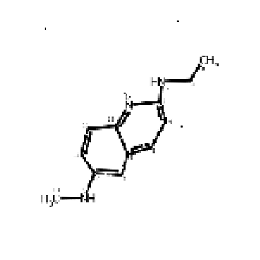 CCNc1ccc2cc(NC)ccc2n1